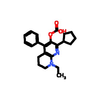 CCN1CCCc2c1nc(C1CCCC1)c(OC(=O)O)c2-c1ccccc1